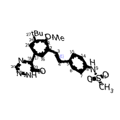 COc1c(/C=C/c2ccc(NS(C)(=O)=O)cc2)cc(-c2ncn[nH]c2=O)cc1C(C)(C)C